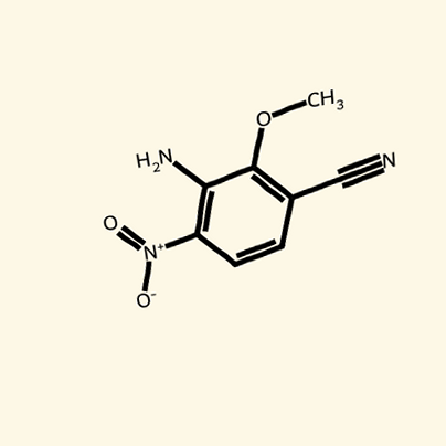 COc1c(C#N)ccc([N+](=O)[O-])c1N